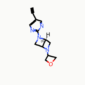 C#Cc1cnc(N2CC3[C@@H]2CN3C2COC2)nc1